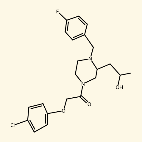 CC(O)CC1CN(C(=O)COc2ccc(Cl)cc2)CCN1Cc1ccc(F)cc1